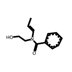 CC=CN(CCO)C(=O)c1ccccc1